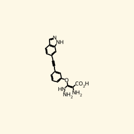 NN/C(Oc1cccc(C#Cc2ccc3cn[nH]c3c2)c1)=C(\N)C(=O)O